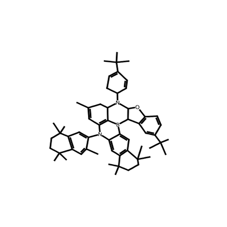 CC1=CC2=C3B(c4cc5c(cc4N2c2cc4c(cc2C)C(C)(C)CCC4(C)C)C(C)(C)CCC5(C)C)C2c4cc(C(C)(C)C)ccc4OC2N(C2C=CC(C(C)(C)C)=CC2)C3C1